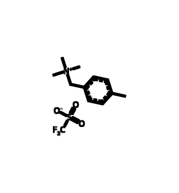 Cc1ccc(C[N+](C)(C)C)cc1.O=S(=O)([O-])C(F)(F)F